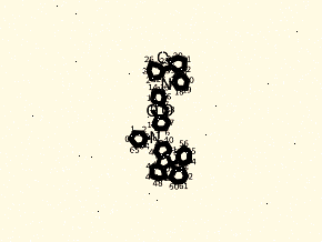 c1ccc(N(c2ccc3c(c2)Oc2ccc(N(c4ccccc4)c4cccc5oc6ccccc6c45)cc2O3)c2ccc3c(c2)-c2ccccc2C3(c2ccccc2)c2ccccc2)cc1